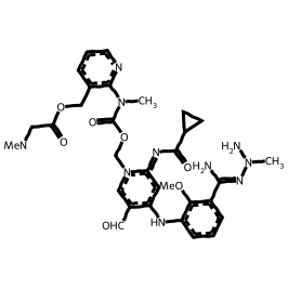 CNCC(=O)OCc1cccnc1N(C)C(=O)OCn1cc(C=O)c(Nc2cccc(/C(N)=N/N(C)N)c2OC)c/c1=N\C(=O)C1CC1